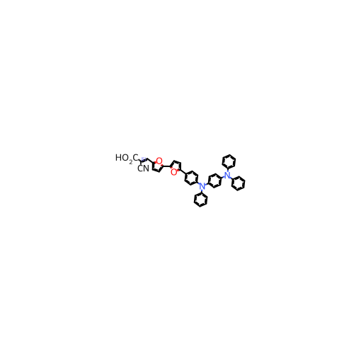 N#C/C(=C\c1ccc(-c2ccc(-c3ccc(N(c4ccccc4)c4ccc(N(c5ccccc5)c5ccccc5)cc4)cc3)o2)o1)C(=O)O